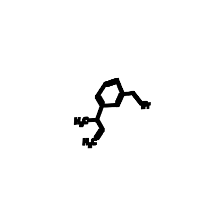 C=C[C](C)c1cccc(CC(C)C)c1